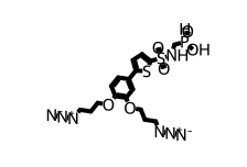 [N-]=[N+]=NCCCOc1ccc(-c2ccc(S(=O)(=O)NC[PH](=O)O)s2)cc1OCCCN=[N+]=[N-]